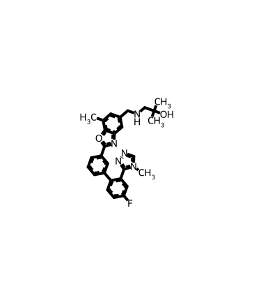 Cc1cc(CNCC(C)(C)O)cc2nc(-c3cccc(-c4ccc(F)cc4-c4nncn4C)c3)oc12